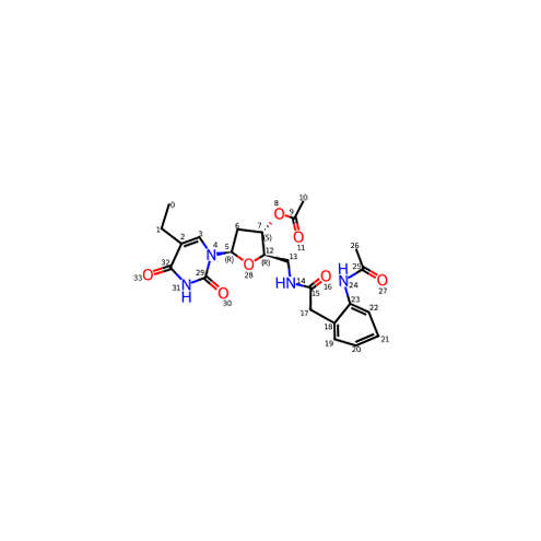 CCc1cn([C@H]2C[C@H](OC(C)=O)[C@@H](CNC(=O)Cc3ccccc3NC(C)=O)O2)c(=O)[nH]c1=O